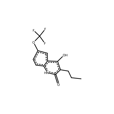 CCCc1c(O)c2cc(OC(F)(F)F)ccc2[nH]c1=O